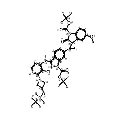 COc1ccc2c(c1)[C@]1(C[C@H]1c1ccc3c(Nc4ncnc(N5CC(O[Si](C)(C)C(C)(C)C)C5)c4Cl)nn(C(=O)OC(C)(C)C)c3c1)C(=O)N2C(=O)OC(C)(C)C